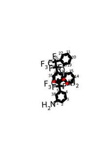 Nc1cccc(C(F)(F)C(F)(c2ccccc2Oc2ccccc2C(F)(C(F)(F)F)C(F)(F)c2cccc(N)c2)C(F)(F)F)c1